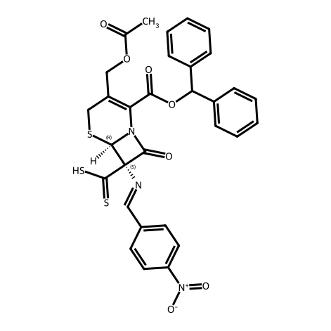 CC(=O)OCC1=C(C(=O)OC(c2ccccc2)c2ccccc2)N2C(=O)[C@@](N=Cc3ccc([N+](=O)[O-])cc3)(C(=S)S)[C@H]2SC1